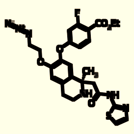 CCOC(=O)c1ccc(Oc2cc3c(cc2OCCN=[N+]=[N-])CCN[C@]3(C)CC(=O)Nc2nccs2)cc1F